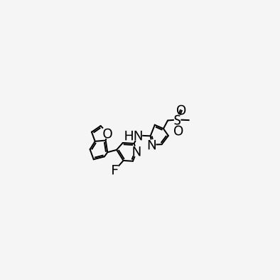 CS(=O)(=O)Cc1ccnc(Nc2cc(-c3cccc4ccoc34)c(F)cn2)c1